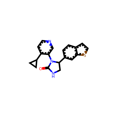 O=C1NCC(c2ccc3ccsc3c2)N1c1cnccc1C1CC1